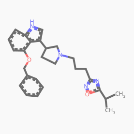 CC(C)c1nc(CCCN2CCC(c3c[nH]c4cccc(OCc5ccccc5)c34)C2)no1